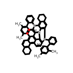 Cc1cc(C)c(-c2ccccc2B2c3c4c(cc5c3-n3c6c2ccc2c7ccc8c(c7c7ccc(c3c7c26)B5c2ccccc2-c2c(C)cc(C)cc2C)CCCC8)CCCC4)c(C)c1